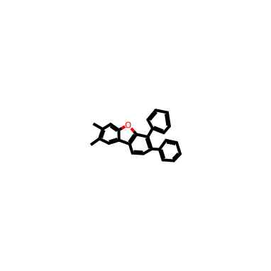 Cc1cc2oc3c(-c4ccccc4)c(-c4ccccc4)ccc3c2cc1C